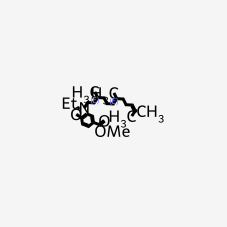 CCC1Oc2ccc(C(=O)OC)cc2N1C/C=C(\C)CC/C=C(\C)CCC=C(C)C